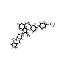 Cn1ccnc1CN1CC[C@H](n2c(=O)n(-c3ccc(-c4ccc(C(=O)O)cc4)cc3O)c3cccnc32)C1